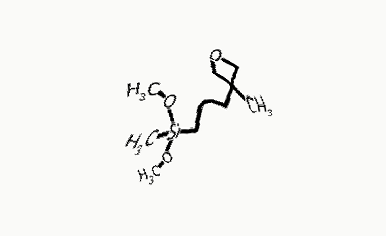 CO[Si](C)(CCCC1(C)COC1)OC